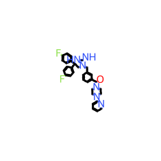 N=C1NC(c2ccc(F)cc2)(c2ccc(F)cc2)CN1Cc1cccc(C(=O)N2CCN(c3ccccn3)CC2)c1